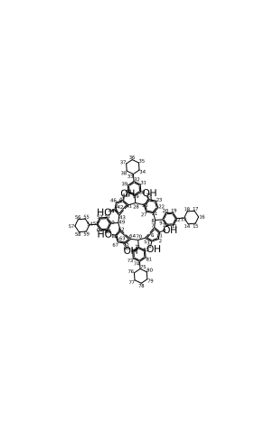 Oc1cc(O)c2cc1C(c1ccc(C3CCCCC3)cc1)c1ccc(O)c(c1)C(c1ccc(C3CCCCC3)cc1)c1cc(c(O)cc1O)C(c1ccc(C3CCCCC3)cc1)c1cc(c(O)cc1O)C2c1ccc(C2CCCCC2)cc1